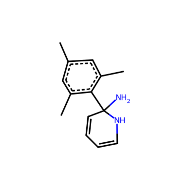 Cc1cc(C)c(C2(N)C=CC=CN2)c(C)c1